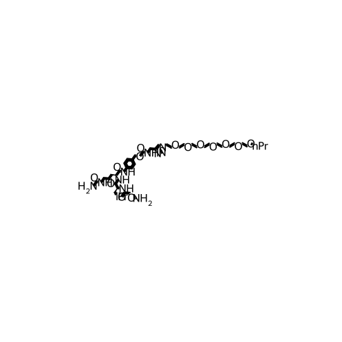 CCCOCCOCCOCCOCCOCCOCCOCCn1cc(CNC(=O)OCc2ccc(NC(=O)[C@H](CCCNC(N)=O)NC(=O)[C@H](CC(C)C)NC(=O)CON)cc2)nn1